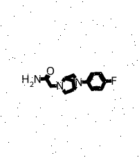 NC(=O)CN1CC2CC1CN2c1ccc(F)cc1